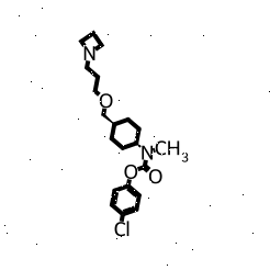 CN(C(=O)Oc1ccc(Cl)cc1)[C@H]1CC[C@H](COCCCN2CCC2)CC1